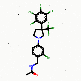 CC(=O)NCc1ccc(N2CCC(c3cc(Cl)c(F)c(Cl)c3F)(C(F)(F)F)C2)cc1Br